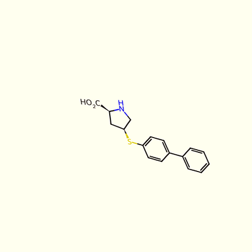 O=C(O)[C@@H]1C[C@H](Sc2ccc(-c3ccccc3)cc2)CN1